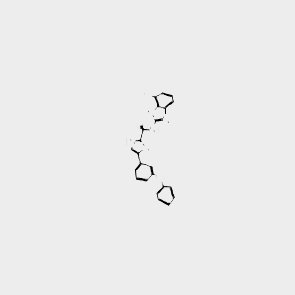 Cc1cccc2nc(NC(=O)c3nc(-c4cccc(Oc5ccccc5)c4)c[nH]3)[nH]c12